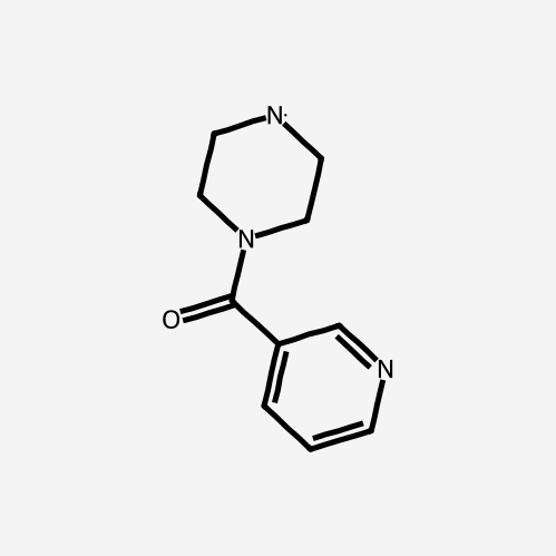 O=C(c1cccnc1)N1CC[N]CC1